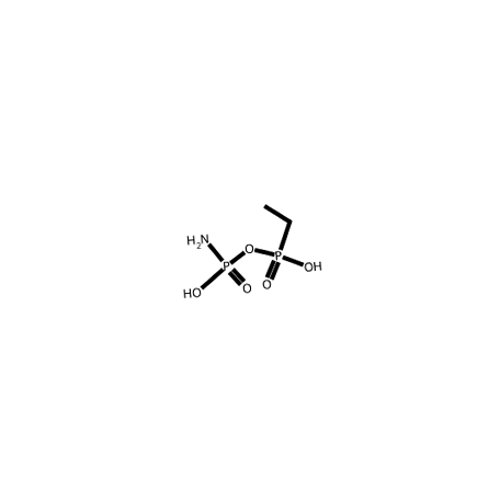 CCP(=O)(O)OP(N)(=O)O